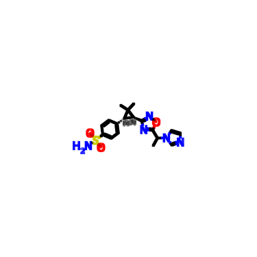 CC(c1nc([C@H]2[C@H](c3ccc(S(N)(=O)=O)cc3)C2(C)C)no1)n1ccnc1